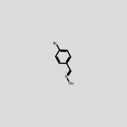 O/N=[C]/c1ccc(Br)cc1